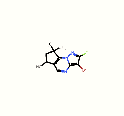 CC1(C)CC(C#N)c2cnc3c(Br)c(F)nn3c21